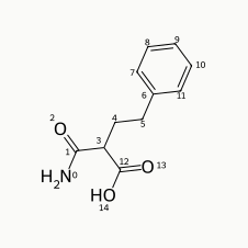 NC(=O)C(CCc1ccccc1)C(=O)O